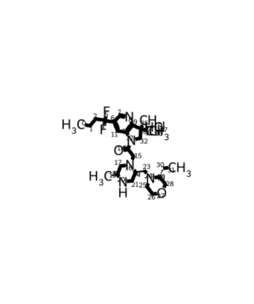 CCCC(F)(F)c1cnc2c(c1)N(C(=O)CN1C[C@@H](C)NC[C@@H]1CN1CCOC[C@H]1CC)CC2(C)C.Cl.Cl